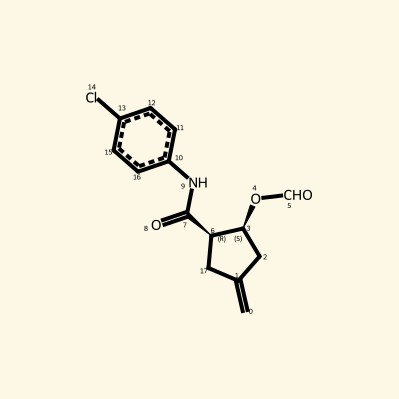 C=C1C[C@H](OC=O)[C@H](C(=O)Nc2ccc(Cl)cc2)C1